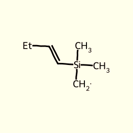 [CH2][Si](C)(C)/C=C/CC